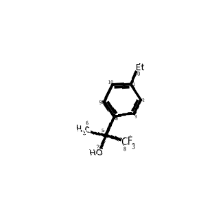 CCc1ccc(C(C)(O)C(F)(F)F)cc1